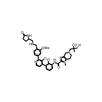 COc1cc(-c2nccc(-c3cccc(NC(=O)c4nc5c(n4C)CCN(CC(C)(C)C(=O)O)C5)c3Cl)c2Cl)ccc1CNCC1CCC(=O)N1